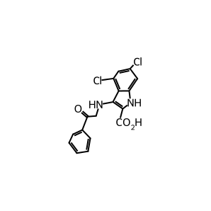 O=C(CNc1c(C(=O)O)[nH]c2cc(Cl)cc(Cl)c12)c1ccccc1